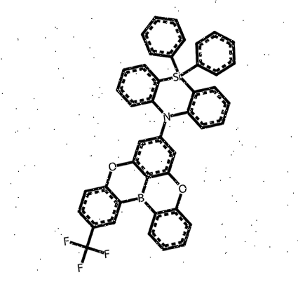 FC(F)(F)c1ccc2c(c1)B1c3ccccc3Oc3cc(N4c5ccccc5[Si](c5ccccc5)(c5ccccc5)c5ccccc54)cc(c31)O2